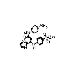 N[C@H]1CC[C@H](Nc2cc(Nc3ccc(S(=O)(=O)O)cc3)c3nccn3n2)CC1